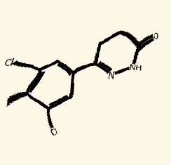 Cc1c(Cl)cc(C2=NNC(=O)CC2)cc1Cl